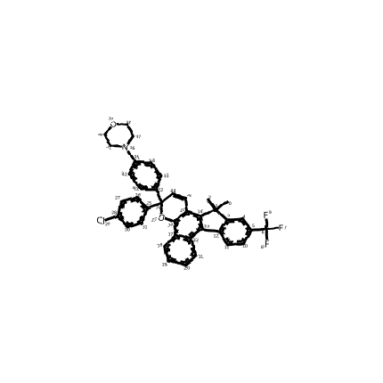 CC1(C)c2cc(C(F)(F)F)ccc2-c2c1c1c(c3ccccc23)OC(c2ccc(Cl)cc2)(c2ccc(N3CCOCC3)cc2)C=C1